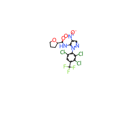 O=C(Nc1c([N+](=O)[O-])cnn1-c1c(Cl)cc(C(F)(F)F)c(Cl)c1Cl)C1CCCO1